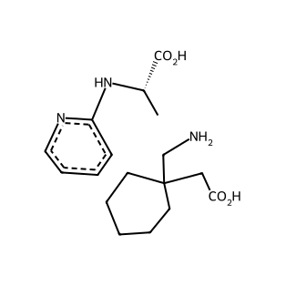 C[C@H](Nc1ccccn1)C(=O)O.NCC1(CC(=O)O)CCCCC1